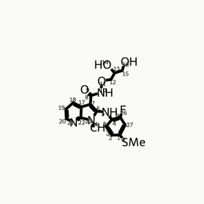 CSc1ccc(Nc2c(C(=O)NOCC(O)CO)c3cccnc3n2C)c(F)c1